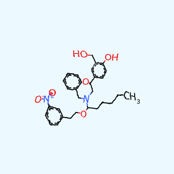 CCCCCC(OCCc1cccc([N+](=O)[O-])c1)N(CC(=O)c1ccc(O)c(CO)c1)Cc1ccccc1